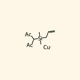 C=CC[Si](C)(C)C(C(C)=O)C(C)=O.[Cu]